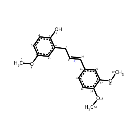 COc1ccc(O)c(C/C=C/c2ccc(OC)c(OC)c2)c1